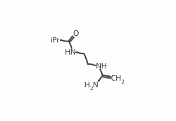 C=C(N)NCCNC(=O)C(C)C